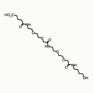 O=C(O)CCCC(=O)NCCOCCOCC(=O)NCCOCCOCC(=O)NCCCCO